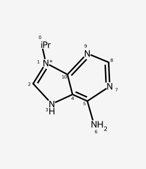 CC(C)[n+]1c[nH]c2c(N)ncnc21